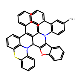 CC(C)(C)c1ccc(N2c3cc4ccccc4c4c3B(c3oc5ccccc5c32)N2c3ccccc3Sc3cccc-4c32)c(-c2ccccc2)c1